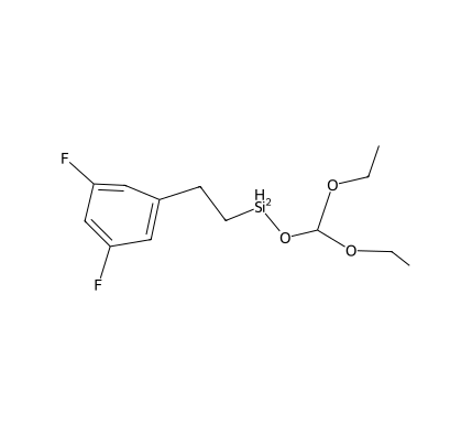 CCOC(OCC)O[SiH2]CCc1cc(F)cc(F)c1